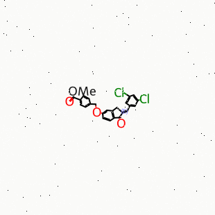 COC(=O)c1ccc(COc2ccc3c(c2)C/C(=C\c2cc(Cl)cc(Cl)c2)C3=O)cc1